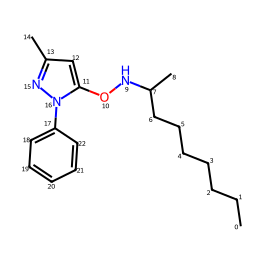 CCCCCCCC(C)NOc1cc(C)nn1-c1ccccc1